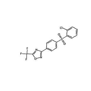 O=S(=O)(c1ccc(-c2noc(C(F)(F)F)n2)cc1)c1ccccc1Cl